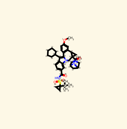 COc1ccc2c(c1)C1CC1(C(=O)N1C3CC1CN(C)C3)Cn1c-2c(C2CCCCC2)c2ccc(C(=O)NS(=O)(=O)C3([Si](C)(C)C)CC3)cc21